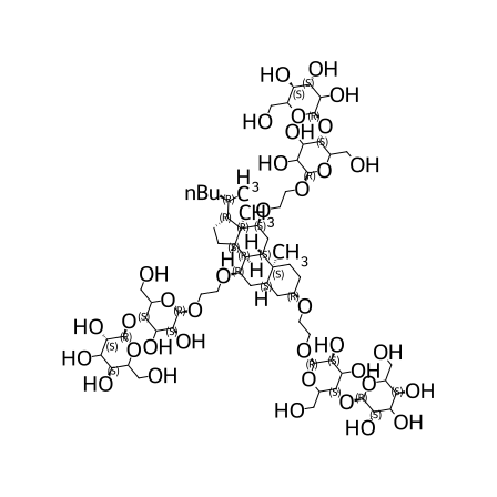 CCCC[C@@H](C)[C@H]1CC[C@H]2[C@@H]3[C@H](OCCO[C@@H]4OC(CO)[C@@H](O[C@H]5OC(CO)[C@@H](O)C(O)[C@@H]5O)C(O)[C@@H]4O)C[C@@H]4C[C@H](OCCO[C@@H]5OC(CO)[C@@H](O[C@H]6OC(CO)[C@@H](O)C(O)[C@@H]6O)C(O)[C@@H]5O)CC[C@]4(C)[C@H]3C[C@H](OCCO[C@@H]3OC(CO)[C@@H](O[C@H]4OC(CO)[C@@H](O)[C@H](O)C4O)C(O)C3O)[C@]12C